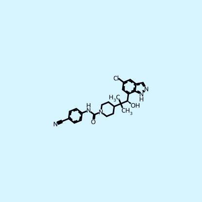 CC(C)(C1CCN(C(=O)Nc2ccc(C#N)cc2)CC1)[C@H](O)c1cc(Cl)cc2cn[nH]c12